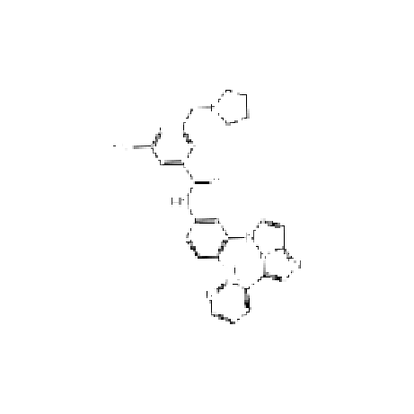 Cc1ccc(NC(=O)c2cc(CN3CCCC3)cc(C(C)(C)C)c2)cc1-n1ccc2ncc(-c3cccnc3)n21